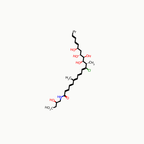 CC(/C=C/C=C/C(=O)NCC(O)CC(=O)O)=C\C=C\C=C(/Cl)[C@@H](C)[C@@H](O)[C@H](O)[C@H](O)C[C@@H](O)/C=C/C=C/C(C)C